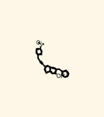 C[S+]([O-])c1ccc(CC#Cc2ccc3cc(O)c(Cc4ccccc4)cc3c2)cc1